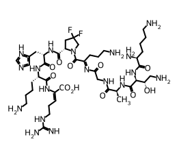 C[C@H](NC(=O)[C@@H](NC(=O)[C@@H](N)CCCCN)[C@@H](O)CN)C(=O)NCC(=O)/N=C(\CCCN)C(=O)N1CC(F)(F)C[C@H]1C(=O)N[C@@H](Cc1cnc[nH]1)C(=O)N[C@@H](CCCCN)C(=O)N/C(=C\CCNC(=N)N)C(=O)O